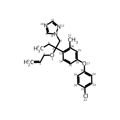 C=CCOC(CC)(Cn1cncn1)c1ccc(Oc2ccc(Cl)cc2)cc1C